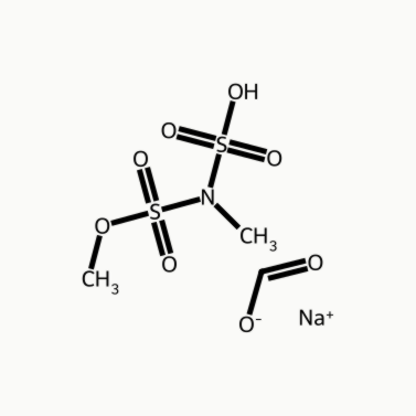 COS(=O)(=O)N(C)S(=O)(=O)O.O=C[O-].[Na+]